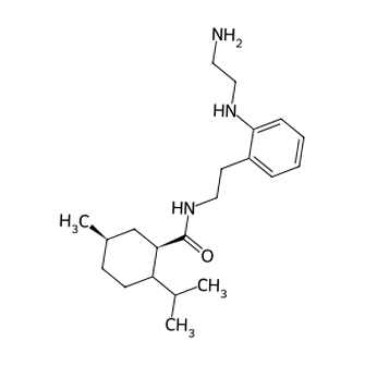 CC(C)C1CC[C@@H](C)C[C@H]1C(=O)NCCc1ccccc1NCCN